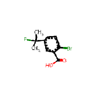 CC(C)(F)c1ccc(Br)c(C(=O)O)c1